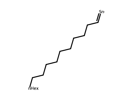 CCCCCCCCCCCCCCC[CH]=[Sn]